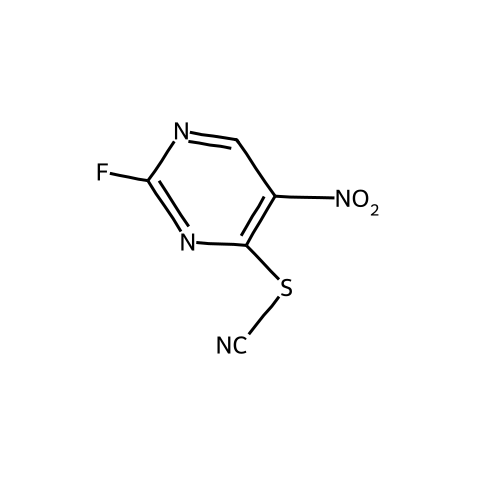 N#CSc1nc(F)ncc1[N+](=O)[O-]